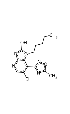 CCCCCn1c(O)nc2ncc(Cl)c(-c3noc(C)n3)c21